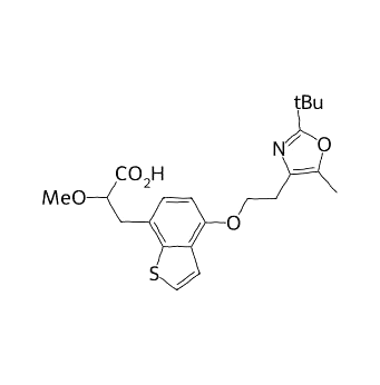 COC(Cc1ccc(OCCc2nc(C(C)(C)C)oc2C)c2ccsc12)C(=O)O